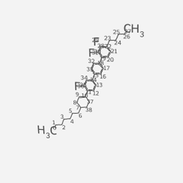 CCCCCCCC1CC=C(c2ccc(-c3ccc(-c4ccc(CCCCC)c(F)c4F)cc3)cc2F)CC1